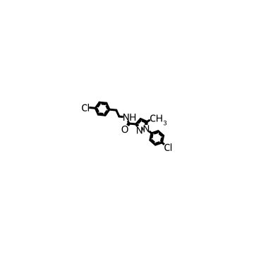 Cc1cc(C(=O)NCCc2ccc(Cl)cc2)nn1-c1ccc(Cl)cc1